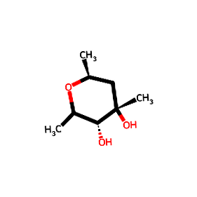 CC1O[C@@H](C)C[C@](C)(O)[C@@H]1O